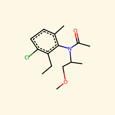 CCc1c(Cl)ccc(C)c1N(C(C)=O)C(C)COC